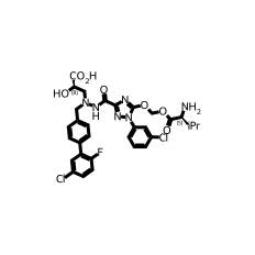 CC(C)[C@H](N)C(=O)OCOc1nc(C(=O)NN(Cc2ccc(-c3cc(Cl)ccc3F)cc2)C[C@@H](O)C(=O)O)nn1-c1cccc(Cl)c1